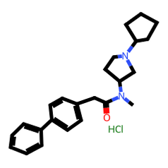 CN(C(=O)Cc1ccc(-c2ccccc2)cc1)C1CCN(C2CCCC2)C1.Cl